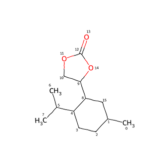 CC1CCC(C(C)C)C(C2COC(=O)O2)C1